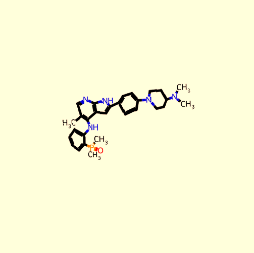 Cc1cnc2[nH]c(-c3ccc(N4CCC(N(C)C)CC4)cc3)cc2c1Nc1ccccc1P(C)(C)=O